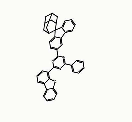 c1ccc(-c2nc(-c3ccc4c(c3)-c3ccccc3C43C4CC5CC(C4)CC3C5)nc(-c3cccc4c3oc3ccccc34)n2)cc1